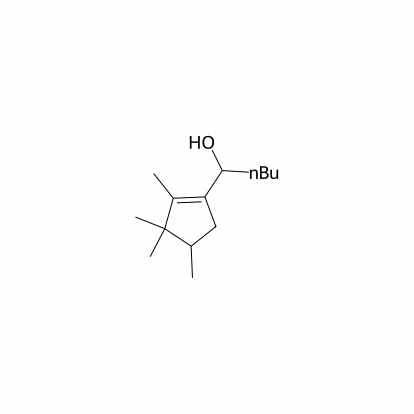 CCCCC(O)C1=C(C)C(C)(C)C(C)C1